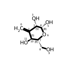 C=C1[C@H](O)[C@H](O)O[C@H](CO)[C@H]1O